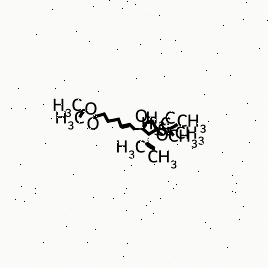 CC=C(C)[C@H]1[C@H](O[Si](C)(C)C(C)(C)C)CC(=O)[C@@H]1CC=CCCCC(=O)OC(C)C